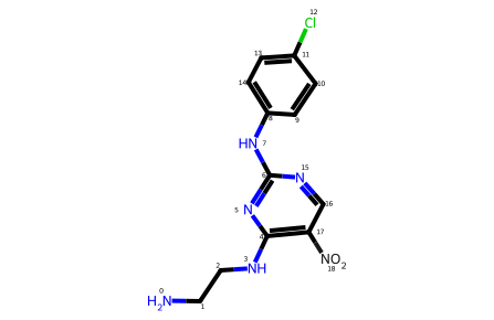 NCCNc1nc(Nc2ccc(Cl)cc2)ncc1[N+](=O)[O-]